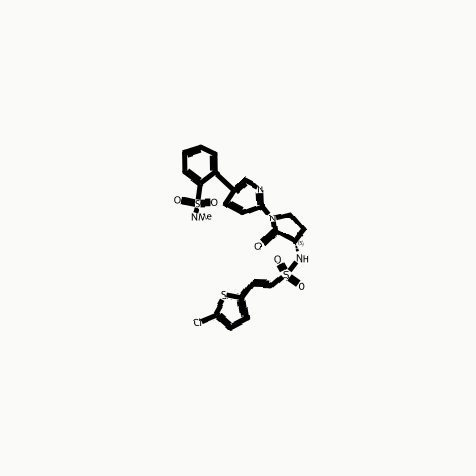 CNS(=O)(=O)c1ccccc1-c1ccc(N2CC[C@H](NS(=O)(=O)C=Cc3ccc(Cl)s3)C2=O)nc1